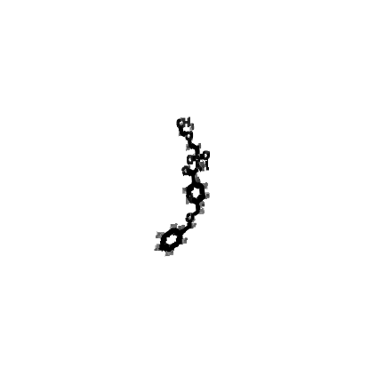 CCOCCS(=O)(=O)NC(=O)c1ccc(COCc2ccccc2)nc1